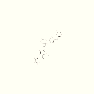 CC1=C[C@H](c2cc(O)c3c(=O)c4cccc(O)c4oc3c2O)[C@](C)(/C=C/c2cc(O)c3c(=O)c4cccc(O)c4oc3c2O)CC1